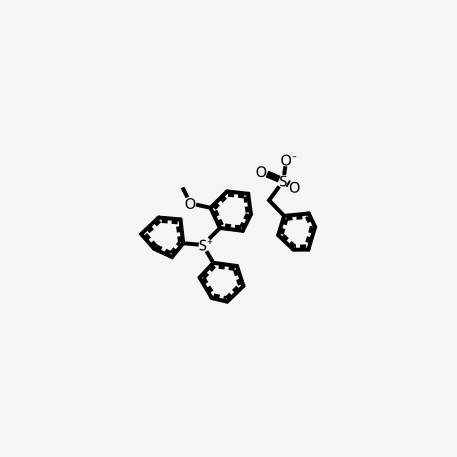 COc1ccccc1[S+](c1ccccc1)c1ccccc1.O=S(=O)([O-])Cc1ccccc1